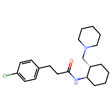 O=C(CCc1ccc(Cl)cc1)N[C@@H]1CCCC[C@H]1CN1CCCCC1